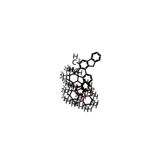 [2H]C1C([2H])([2H])C([2H])([2H])C([2H])([2H])C([2H])([2H])C1([2H])c1nnnc(C2C([2H])([2H])C([2H])([2H])C([2H])([2H])C([2H])([2H])C2([2H])c2c(-c3c(C)c(C)cc4c3Cc3ccccc3-4)ccc3[se]c4ccccc4c23)c1C1([2H])C([2H])C([2H])([2H])C([2H])([2H])C([2H])([2H])C1([2H])[2H]